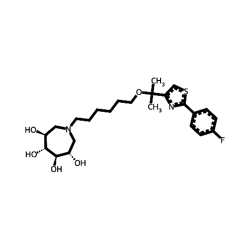 CC(C)(OCCCCCCN1C[C@H](O)[C@@H](O)[C@H](O)[C@@H](O)C1)c1csc(-c2ccc(F)cc2)n1